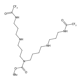 CC(C)(C)OC(=O)N(CCCCNCCCNC(=O)C(F)(F)F)CCCNCCCNC(=O)C(F)(F)F